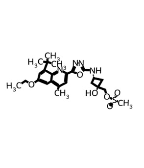 CCOc1cc(C(C)(C)C)c2nc(-c3nnc(N[C@H]4C[C@@](O)(COS(C)(=O)=O)C4)o3)cc(C)c2c1